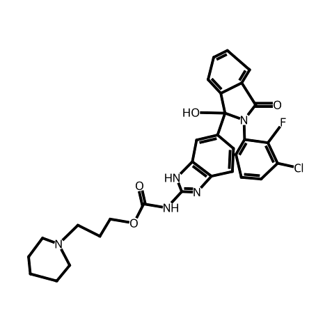 O=C(Nc1nc2ccc(C3(O)c4ccccc4C(=O)N3c3cccc(Cl)c3F)cc2[nH]1)OCCCN1CCCCC1